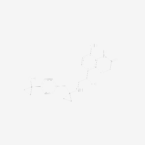 O=C1COc2c(C(O)CNC3(Cc4ccc(C5(O)CC5)cc4)CC3)ccc(O)c2N1